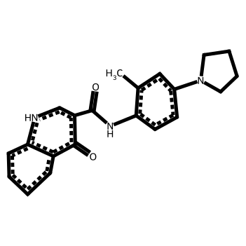 Cc1cc(N2CCCC2)ccc1NC(=O)c1c[nH]c2ccccc2c1=O